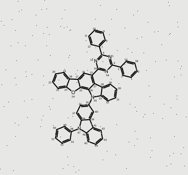 c1ccc(-c2nc(-c3ccccc3)nc(-c3cc4c5ccccc5oc4c4c3c3ccccc3n4-c3ccc4c(c3)c3ccccc3n4-c3ccccc3)n2)cc1